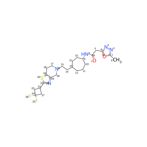 Cc1nnc(CC(=O)NC2CCCC(CCN3CCc4sc(C5CC(F)(F)C5)nc4C3)CC2)o1